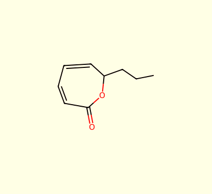 CCCC1C=CC=CC(=O)O1